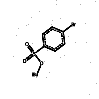 CCC(C)OS(=O)(=O)c1ccc(Br)cc1